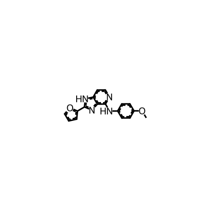 COc1ccc(Nc2nccc3[nH]c(-c4ccco4)nc23)cc1